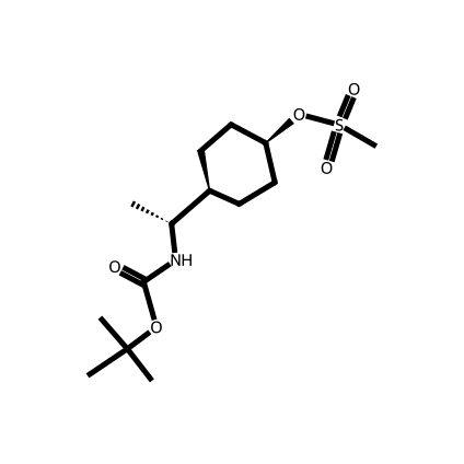 C[C@@H](NC(=O)OC(C)(C)C)[C@H]1CC[C@@H](OS(C)(=O)=O)CC1